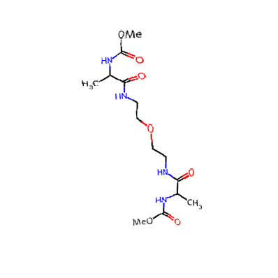 COC(=O)NC(C)C(=O)NCCOCCNC(=O)C(C)NC(=O)OC